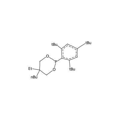 CCCCC1(CC)COP(c2c(C(C)(C)C)cc(C(C)(C)C)cc2C(C)(C)C)OC1